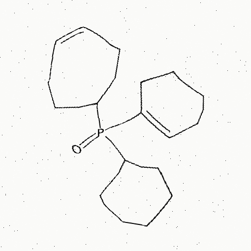 O=P(C1=CCCCC1)(C1CCC=CCC1)C1CCCCC1